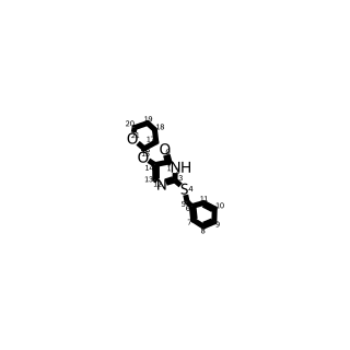 O=c1[nH]c(SCc2ccccc2)ncc1OC1CCCCO1